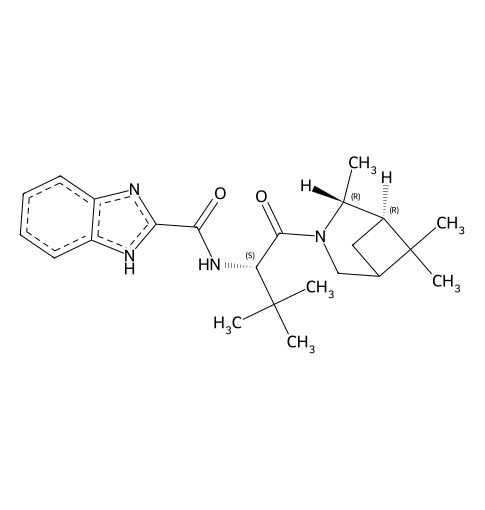 C[C@@H]1[C@@H]2CC(CN1C(=O)[C@@H](NC(=O)c1nc3ccccc3[nH]1)C(C)(C)C)C2(C)C